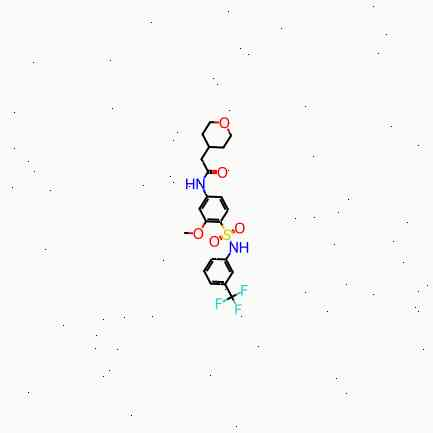 COc1cc(NC(=O)CC2CCOCC2)ccc1S(=O)(=O)Nc1cccc(C(F)(F)F)c1